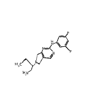 CCC(CN)N1Cc2cnc(Nc3cc(F)cc(F)c3)nc2C1